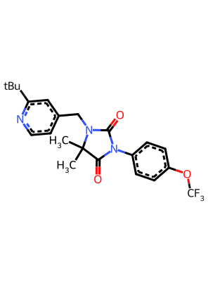 CC(C)(C)c1cc(CN2C(=O)N(c3ccc(OC(F)(F)F)cc3)C(=O)C2(C)C)ccn1